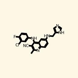 Cc1nc2ccc(NCc3cnc[nH]3)cc2c(Nc2ccc(F)c(Cl)c2)c1C#N